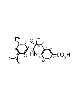 CN(C)c1cc(F)cc(C2Nc3ccc(C(=O)O)cc3CC2(C)C)c1